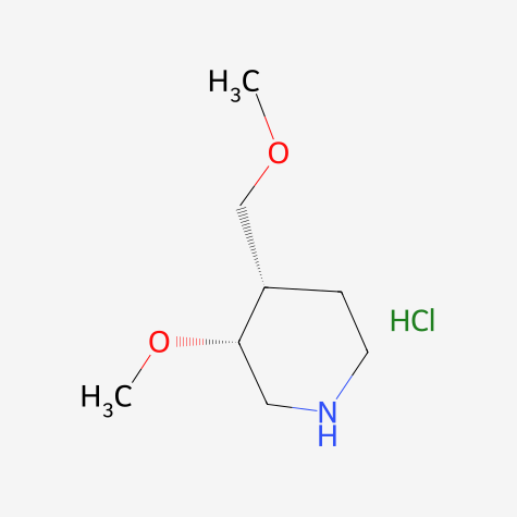 COC[C@@H]1CCNC[C@@H]1OC.Cl